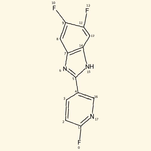 Fc1ccc(-c2nc3cc(F)c(F)cc3[nH]2)cn1